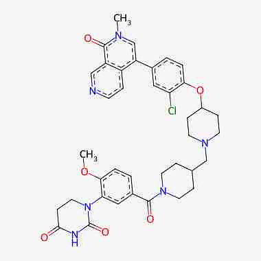 COc1ccc(C(=O)N2CCC(CN3CCC(Oc4ccc(-c5cn(C)c(=O)c6cnccc56)cc4Cl)CC3)CC2)cc1N1CCC(=O)NC1=O